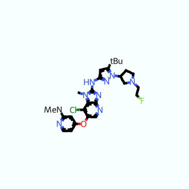 CNc1cc(Oc2cnc3nc(Nc4cc(C(C)(C)C)n(C5CCN(CCF)C5)n4)n(C)c3c2Cl)ccn1